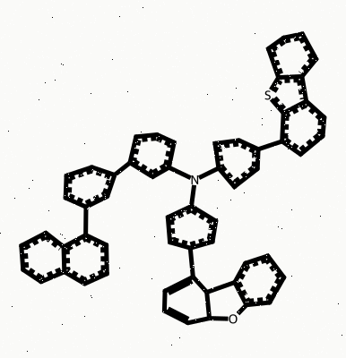 C1=CC2Oc3ccccc3C2C(c2ccc(N(c3ccc(-c4cccc5c4sc4ccccc45)cc3)c3cccc(-c4cccc(-c5cccc6ccccc56)c4)c3)cc2)=C1